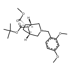 COC(=O)[C@H]1C[C@H]2CN(Cc3ccc(OC)cc3OC)C[C@@H]1N2C(=O)OC(C)(C)C